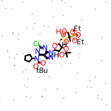 CCOP(=O)(OCC)C(C)(CO)S(=O)(=O)C[C@H]1O[C@@H](n2ncc3c(N(C(=O)OC(C)(C)C)C4CCCC4)nc(Cl)nc32)[C@@H]2OC(C)(C)O[C@@H]21